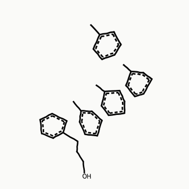 Cc1ccccc1.Cc1ccccc1.Cc1ccccc1.Cc1ccccc1.OCCCc1ccccc1